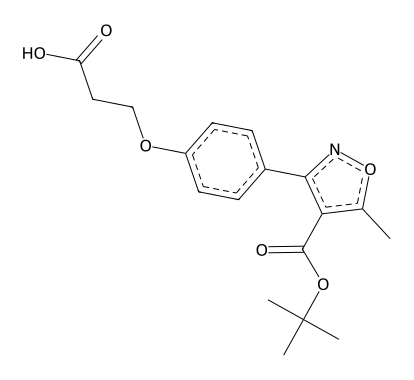 Cc1onc(-c2ccc(OCCC(=O)O)cc2)c1C(=O)OC(C)(C)C